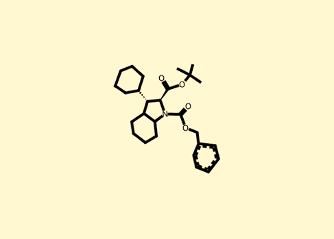 CC(C)(C)OC(=O)[C@@H]1[C@@H](C2CCCCC2)C2CCCCC2N1C(=O)OCc1ccccc1